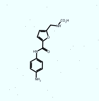 Nc1ccc(NC(=O)c2ccc(CNC(=O)O)o2)cc1